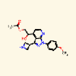 O=C(OCC(O)c1ccnc2c1c(C1CNC1)nn2-c1ccc(OC(F)(F)F)cc1)C(F)(F)F